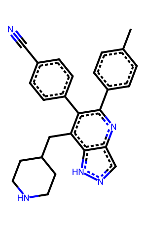 Cc1ccc(-c2nc3cn[nH]c3c(CC3CCNCC3)c2-c2ccc(C#N)cc2)cc1